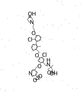 Cc1c(COc2cc(OCc3cncc(S(C)(=O)=O)c3)c(CNC(C)(CO)CO)cc2Cl)cccc1-c1cccc(OCCCN2CC[C@@H](O)C2)c1Cl